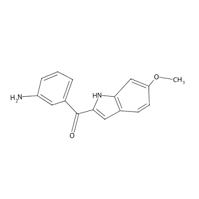 COc1ccc2cc(C(=O)c3cccc(N)c3)[nH]c2c1